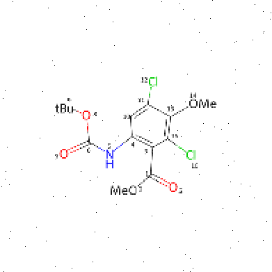 COC(=O)c1c(NC(=O)OC(C)(C)C)cc(Cl)c(OC)c1Cl